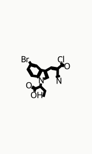 CCC(C(=O)O)n1cc(/C=C(\C#N)C(=O)Cl)c2cc(Br)ccc21